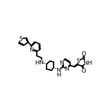 O=C1NC(=O)/C(=C/c2ccnc(N[C@H]3CC[C@@H](NCCc4cccc(-c5ccsc5)n4)CC3)n2)S1